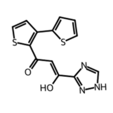 O=C(C=C(O)c1nc[nH]n1)c1sccc1-c1cccs1